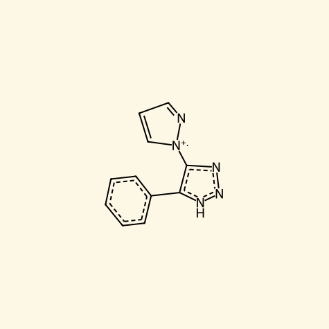 C1=C[N+](c2nn[nH]c2-c2ccccc2)N=C1